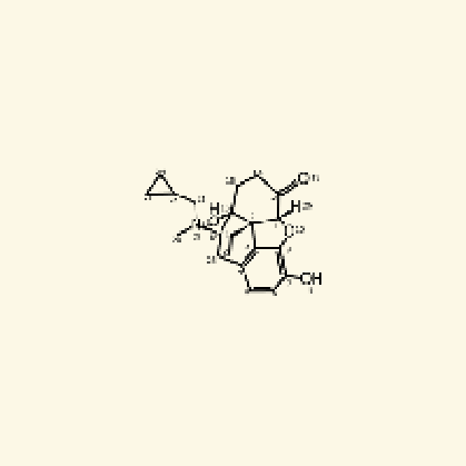 CC[C@]12c3c4ccc(O)c3O[C@H]1C(=O)CC[C@@]2(O)[C@H](N(C)CC1CC1)C4